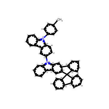 Cc1ccc(-n2c3ccccc3c3cc(-n4c5ccccc5c5cc6c(cc54)-c4ccccc4C64c5ccccc5-c5ccccc54)ccc32)cc1